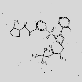 CN(Cc1cc(-c2ccccc2F)n(S(=O)(=O)c2cccc(NC(=O)C3CCCN3C)c2)c1)C(=O)OC(C)(C)C